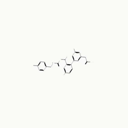 CCC(NC(=O)NCc1ccc(Cl)cc1)c1cc(C(F)(F)F)ccc1-c1cc(CC(=O)OC)cc(C(F)(F)F)c1